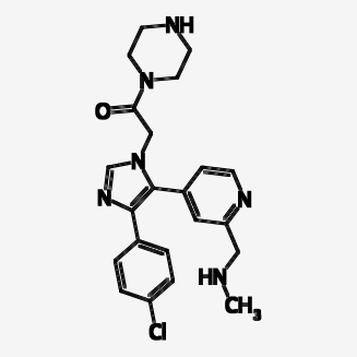 CNCc1cc(-c2c(-c3ccc(Cl)cc3)ncn2CC(=O)N2CCNCC2)ccn1